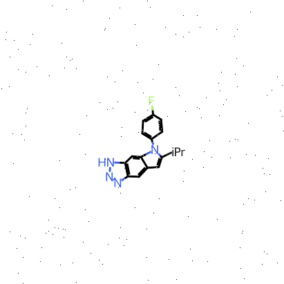 CC(C)c1cc2cc3nn[nH]c3cc2n1-c1ccc(F)cc1